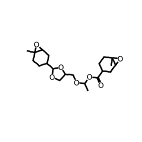 CC(OCC1COC(C2CCC3(C)OC3C2)O1)OC(=O)C1CCC2(C)OC2C1